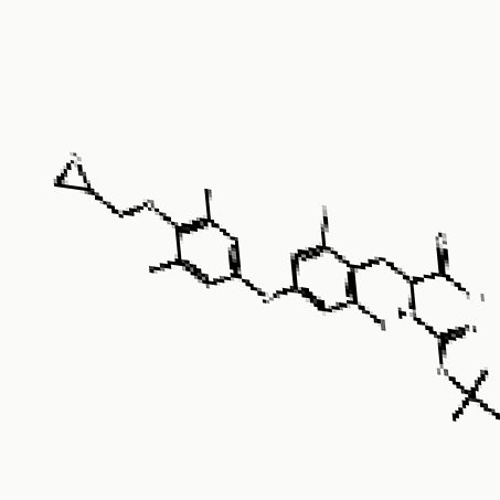 CC(C)(C)OC(=O)NC(Cc1c(I)cc(Oc2cc(I)c(OCC3CO3)c(I)c2)cc1I)C(=O)O